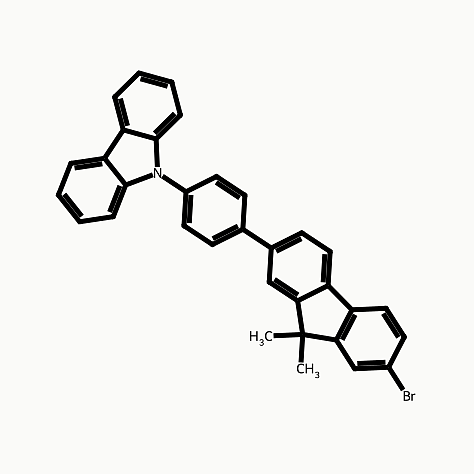 CC1(C)c2cc(Br)ccc2-c2ccc(-c3ccc(-n4c5ccccc5c5ccccc54)cc3)cc21